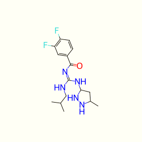 CC(C)CN/C(=N/C(=O)c1ccc(F)c(F)c1)NC1CC(C)NN1